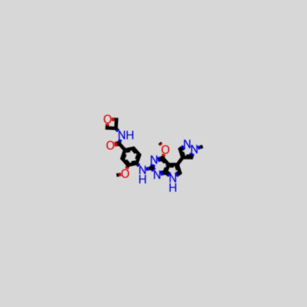 COc1cc(C(=O)NC2COC2)ccc1Nc1nc(OC)c2c(-c3cnn(C)c3)c[nH]c2n1